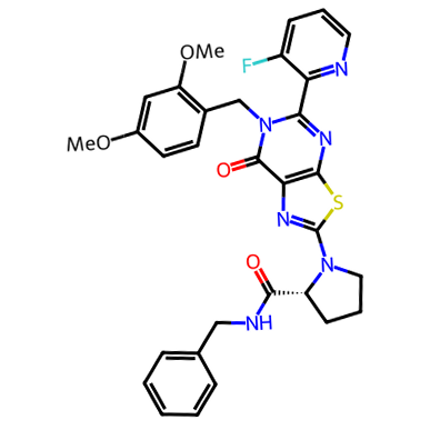 COc1ccc(Cn2c(-c3ncccc3F)nc3sc(N4CCC[C@@H]4C(=O)NCc4ccccc4)nc3c2=O)c(OC)c1